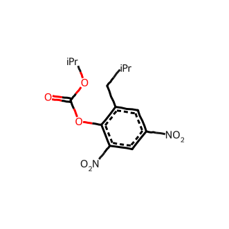 CC(C)Cc1cc([N+](=O)[O-])cc([N+](=O)[O-])c1OC(=O)OC(C)C